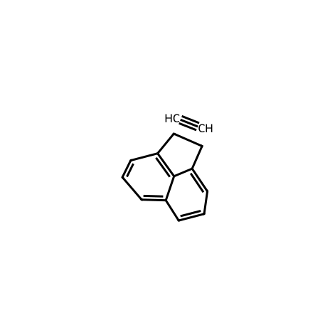 C#C.c1cc2c3c(cccc3c1)CC2